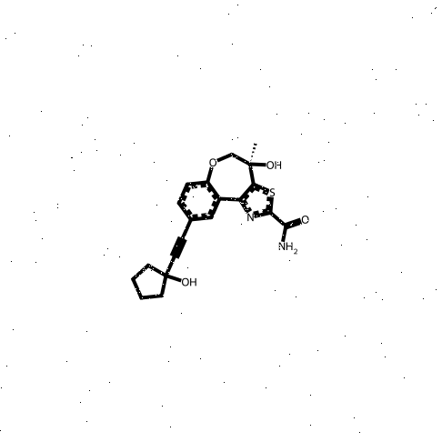 C[C@@]1(O)COc2ccc(C#CC3(O)CCCC3)cc2-c2nc(C(N)=O)sc21